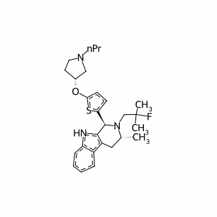 CCCN1CC[C@@H](Oc2ccc([C@@H]3c4[nH]c5ccccc5c4C[C@@H](C)N3CC(C)(C)F)s2)C1